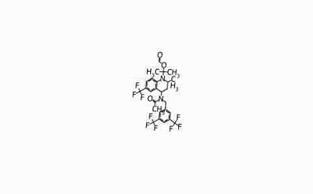 CC(=O)N(Cc1cc(C(F)(F)F)cc(C(F)(F)F)c1)C1CC(C)N(C(C)(C)OC=O)c2ccc(C(F)(F)F)cc21